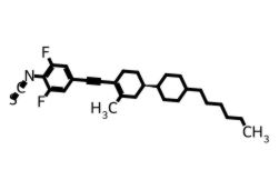 CCCCCCC1CCC([C@@H]2CCC(C#Cc3cc(F)c(N=C=S)c(F)c3)=C(C)C2)CC1